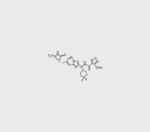 COc1nonc1C(=O)N[C@H](c1cn2ncc(C[C@@H]3C[C@@H](C(F)(F)F)NC3=O)cc2n1)C1CCC(F)(F)CC1